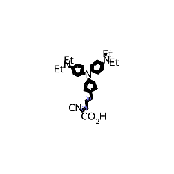 [C-]#[N+]/C(=C\C=C\c1ccc(N(c2ccc(N(CC)CC)cc2)c2ccc(N(CC)CC)cc2)cc1)C(=O)O